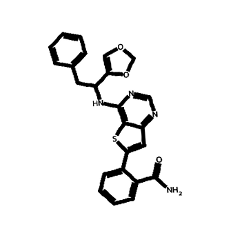 NC(=O)c1ccccc1-c1cc2ncnc(NC(Cc3ccccc3)C3=COCO3)c2s1